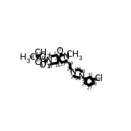 CN1C(=O)C2(CCN(C(=O)OC(C)(C)C)CC2)C[C@@H]1CCN1CCN(c2cccc(Cl)c2)CC1